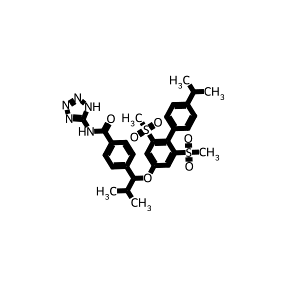 CC(C)c1ccc(-c2c(S(C)(=O)=O)cc(OC(c3ccc(C(=O)Nc4nnn[nH]4)cc3)C(C)C)cc2S(C)(=O)=O)cc1